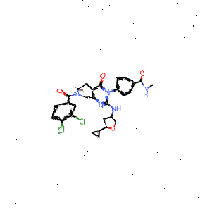 CNC(=O)c1ccc(-n2c(NC3COC(C4CC4)C3)nc3c(c2=O)C[C@@H](C)N(C(=O)c2ccc(Cl)c(Cl)c2)C3)cc1